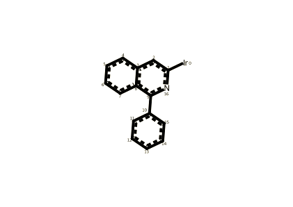 [Ir][c]1cc2ccccc2c(-c2ccccc2)n1